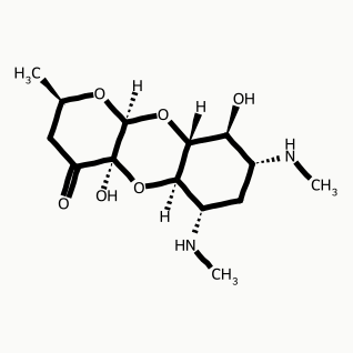 CN[C@H]1C[C@@H](NC)[C@H](O)[C@H]2O[C@@H]3O[C@H](C)CC(=O)[C@]3(O)O[C@@H]21